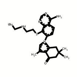 Cc1cn(-c2ccc3c(N)ncnc3c2SCCNCC(C)(C)C)c2c1C(=O)CC(C)(C)C2